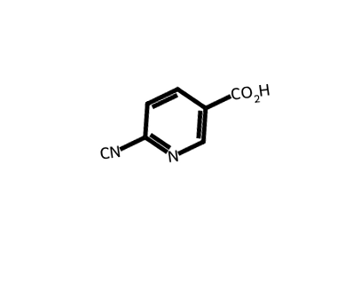 [C-]#[N+]c1ccc(C(=O)O)cn1